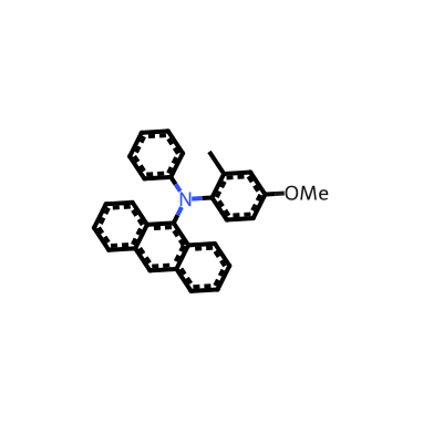 COc1ccc(N(c2ccccc2)c2c3ccccc3cc3ccccc23)c(C)c1